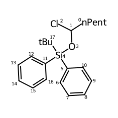 CCCCCC(Cl)O[Si](c1ccccc1)(c1ccccc1)C(C)(C)C